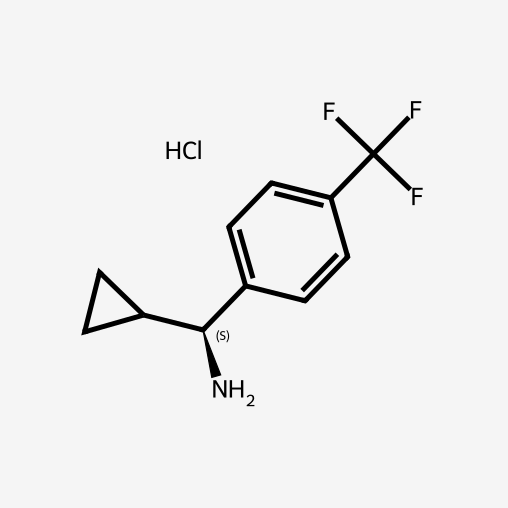 Cl.N[C@H](c1ccc(C(F)(F)F)cc1)C1CC1